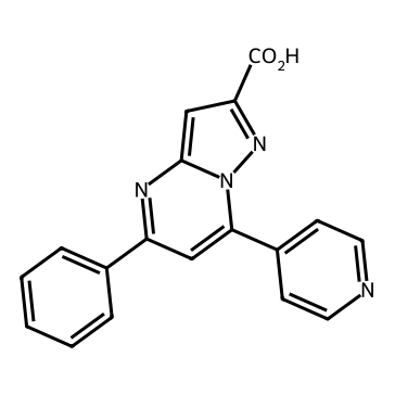 O=C(O)c1cc2nc(-c3ccccc3)cc(-c3ccncc3)n2n1